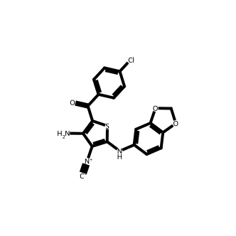 [C-]#[N+]c1c(Nc2ccc3c(c2)OCO3)sc(C(=O)c2ccc(Cl)cc2)c1N